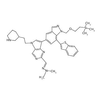 CN(C)N=Cc1ncc2c(n1)c(-c1cc(-c3cc4ccccc4s3)c3c(cnn3COCC[Si](C)(C)C)c1)cn2CCC1CCCNC1